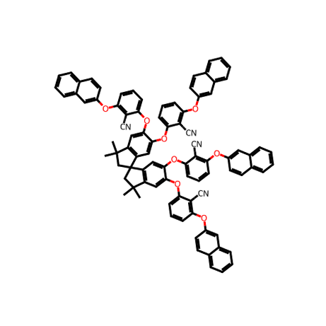 CC1(C)CC2(CC(C)(C)c3cc(Oc4cccc(Oc5ccc6ccccc6c5)c4C#N)c(Oc4cccc(Oc5ccc6ccccc6c5)c4C#N)cc32)c2cc(Oc3cccc(Oc4ccc5ccccc5c4)c3C#N)c(Oc3cccc(Oc4ccc5ccccc5c4)c3C#N)cc21